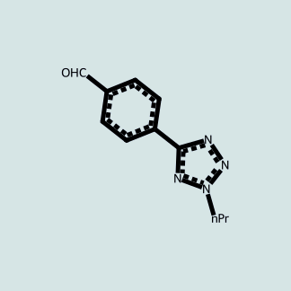 CCCn1nnc(-c2ccc(C=O)cc2)n1